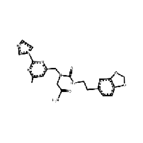 Cc1cc(CN(CC(N)=O)C(=O)NCCc2ccc3c(c2)OCO3)nc(-n2ccnc2)n1